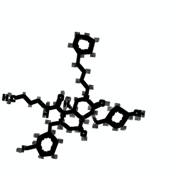 CCCCNC(=O)N1[C@H]2CN(CCCCc3ccccc3)C(=O)[C@H](Cc3ccc(O)cc3)N2C(=O)CN1Cc1cccc(F)c1